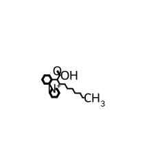 CCCCCCCCC(C(=O)O)c1ccccc1-[n+]1ccccc1